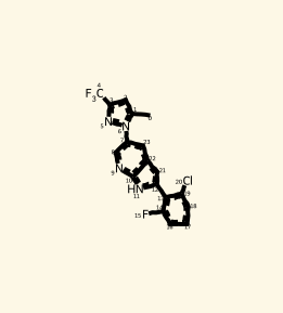 Cc1cc(C(F)(F)F)nn1-c1cnc2[nH]c(-c3c(F)cccc3Cl)cc2c1